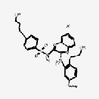 COc1ccc(CCO)c(Nc2nc3ccccc3nc2NS(=O)(=O)c2ccc(CCCO)cc2)c1.[K]